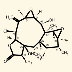 C=C1[C@H]2O[C@H]2[C@H](O)[C@]2(C)[C@H]([C@@H](C)[C@@H](C)[C@@H]3O[C@@H]32)[C@H](C)[C@]2(O)[C@@H](C)C(=O)O[C@H]2[C@H]1Cl